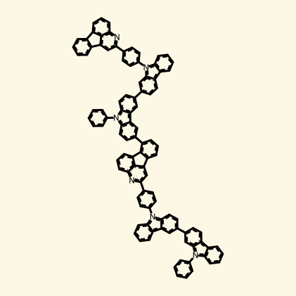 c1ccc(-n2c3ccc(-c4ccc5c6ccccc6n(-c6ccc(-c7cc8c9c(cccc9n7)-c7ccccc7-8)cc6)c5c4)cc3c3cc(-c4cccc5c4-c4cccc6nc(-c7ccc(-n8c9ccccc9c9cc(-c%10ccc%11c%12ccccc%12n(-c%12ccccc%12)c%11c%10)ccc98)cc7)cc-5c46)ccc32)cc1